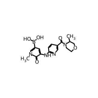 CC1COCCN1C(=O)c1ccc(Nc2cc(B(O)O)cn(C)c2=O)nc1